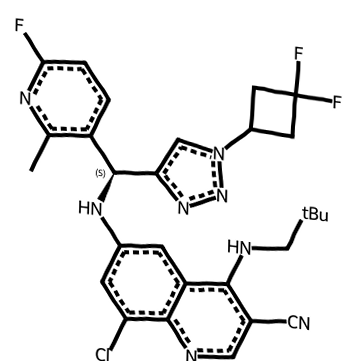 Cc1nc(F)ccc1[C@H](Nc1cc(Cl)c2ncc(C#N)c(NCC(C)(C)C)c2c1)c1cn(C2CC(F)(F)C2)nn1